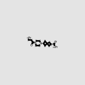 CC(C)CCC(=O)N1CCN([C@H]2CC3(C[C@H](C(=O)C(C)C)C3)C2)CC1